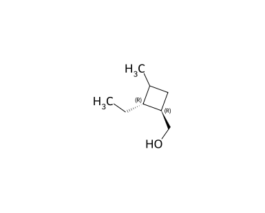 CC[C@@H]1C(C)C[C@H]1CO